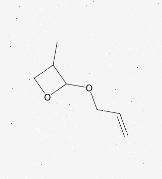 C=CCOC1OCC1C